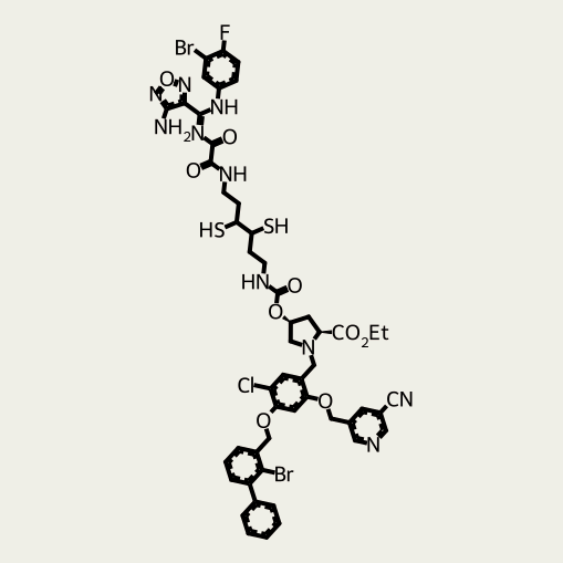 CCOC(=O)[C@@H]1C[C@H](OC(=O)NCCC(S)C(S)CCNC(=O)C(=O)/N=C(\Nc2ccc(F)c(Br)c2)c2nonc2N)CN1Cc1cc(Cl)c(OCc2cccc(-c3ccccc3)c2Br)cc1OCc1cncc(C#N)c1